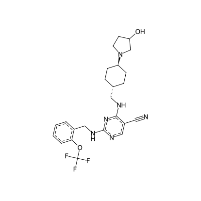 N#Cc1cnc(NCc2ccccc2OC(F)(F)F)nc1NC[C@H]1CC[C@H](N2CCC(O)C2)CC1